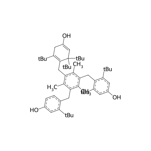 Cc1c(CC2=C(C(C)(C)C)CC(O)=CC2(C(C)(C)C)C(C)(C)C)c(C)c(Cc2c(C(C)(C)C)cc(O)cc2C(C)(C)C)c(C)c1Cc1ccc(O)cc1C(C)(C)C